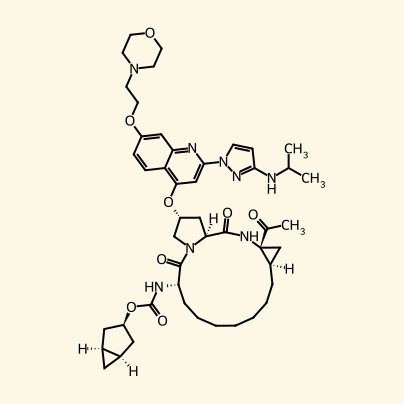 CC(=O)[C@@]12C[C@H]1CCCCCCC[C@H](NC(=O)O[C@@H]1C[C@@H]3C[C@@H]3C1)C(=O)N1C[C@H](Oc3cc(-n4ccc(NC(C)C)n4)nc4cc(OCCN5CCOCC5)ccc34)C[C@H]1C(=O)N2